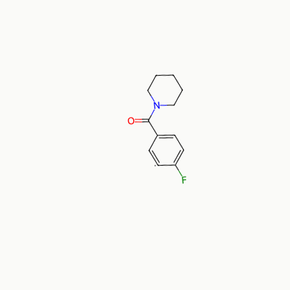 O=C(c1c[c]c(F)cc1)N1CCCCC1